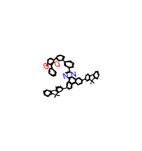 CC1(C)c2ccccc2-c2ccc(-c3ccc4c5ccc(-c6ccc7c(c6)C(C)(C)c6ccccc6-7)cc5c5nc(-c6cccc(-c7cccc8c7oc7c8ccc8oc9ccccc9c87)c6)cnc5c4c3)cc21